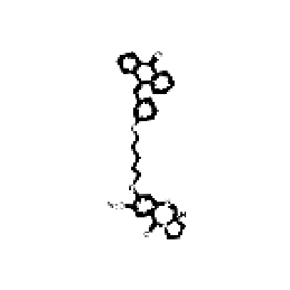 COc1cc2c(cc1OCCCCCOc1cccc(C=C3c4ccccc4C(=O)c4ccccc43)c1)N=C[C@@H]1CCCN1C2=O